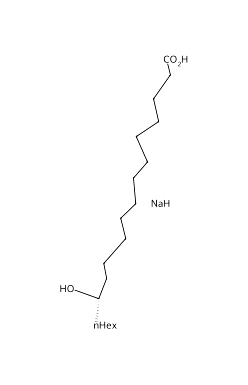 CCCCCC[C@H](O)CCCCCCCCCCCC(=O)O.[NaH]